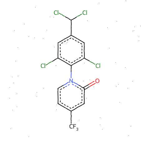 O=c1cc(C(F)(F)F)ccn1-c1c(Cl)cc(C(Cl)Cl)cc1Cl